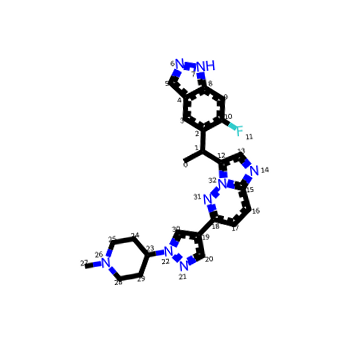 CC(c1cc2cn[nH]c2cc1F)c1cnc2ccc(-c3cnn(C4CCN(C)CC4)c3)nn12